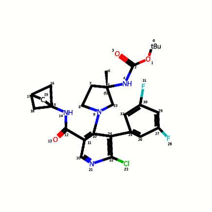 CC(C)(C)OC(=O)N[C@@]1(C)CCN(c2c(C(=O)NC34CC(C3)C4)cnc(Cl)c2-c2cc(F)cc(F)c2)C1